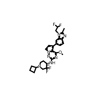 COc1nc(N[C@@H]2CCN(C3CCC3)CC2(F)F)nn2ccc(-c3ccc4nc(C)n(CC(F)F)c4c3)c12